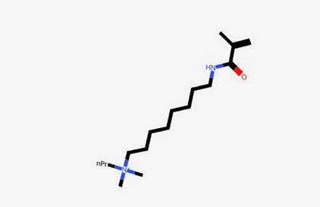 C=C(C)C(=O)NCCCCCCCC[N+](C)(C)CCC